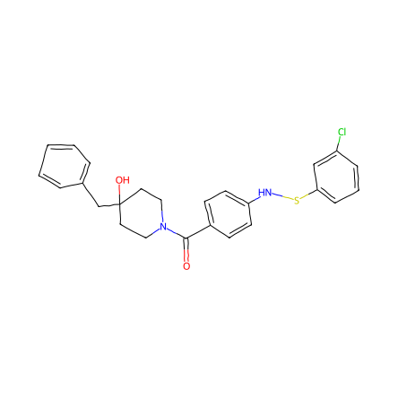 O=C(c1ccc(NSc2cccc(Cl)c2)cc1)N1CCC(O)(Cc2ccccc2)CC1